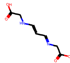 O=C(O)C/N=C/C=C/NCC(=O)O